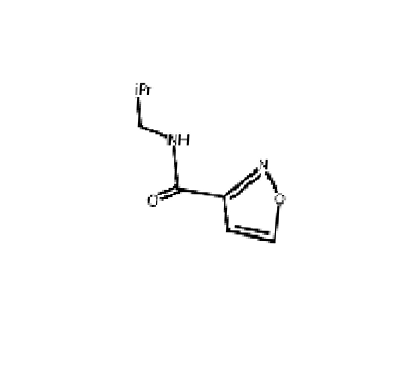 CC(C)CNC(=O)c1ccon1